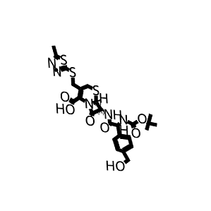 Cc1nnc(SCC2=C(C(=O)O)N3C(=O)[C@@H](NC(=O)C(NC(=O)OC(C)(C)C)c4ccc(CO)cc4)[C@@H]3SC2)s1